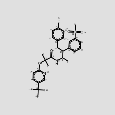 CC(NC(=O)C(C)(C)Oc1ccc(C(F)(F)F)cn1)C(Cc1ccc(Cl)cc1)c1cccc(S(C)(=O)=O)c1